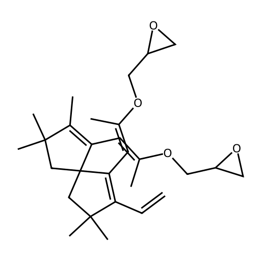 C=CC1=C(/C=C(\C)OCC2CO2)C2(CC(C)(C)C(C)=C2/C=C(\C)OCC2CO2)CC1(C)C